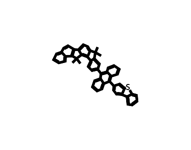 CC1(C)c2cc(-c3c4ccccc4c(-c4ccc5c(c4)sc4ccccc45)c4ccccc34)ccc2-c2c1ccc1c2C(C)(C)c2c-1ccc1ccccc21